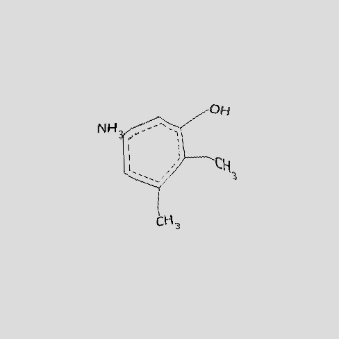 Cc1cccc(O)c1C.N